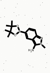 Cn1nc2ccc(B3OC(C)(C)C(C)(C)O3)cc2c1N